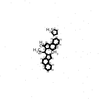 C1CC[SiH2]C1.[CH3][Zr][CH](C1C(C)=Cc2c1ccc1ccccc21)C1C(C)=Cc2c1ccc1ccccc21